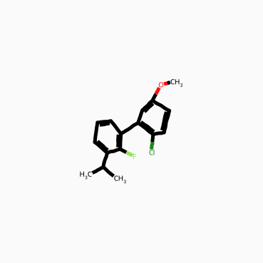 COc1ccc(Cl)c(-c2cccc(C(C)C)c2F)c1